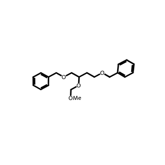 COCOC(CCOCc1ccccc1)COCc1ccccc1